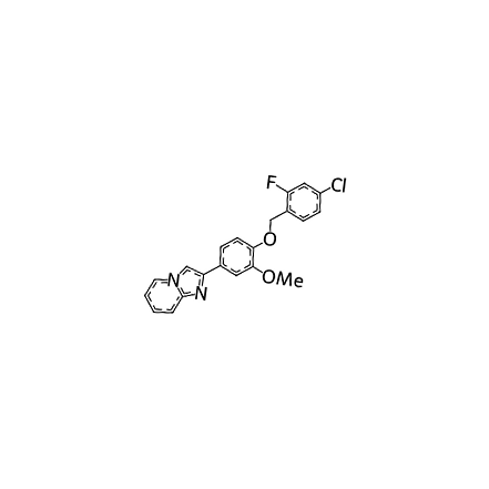 COc1cc(-c2cn3ccccc3n2)ccc1OCc1ccc(Cl)cc1F